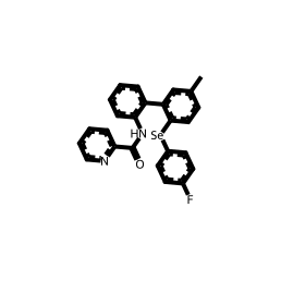 Cc1ccc([Se]c2ccc(F)cc2)c(-c2ccccc2NC(=O)c2ccccn2)c1